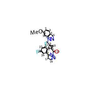 COc1ccc2cnn(CC34CC(C(=O)N5N=CCC5c5cc(F)cc(F)c5)(C3)C4)c2c1